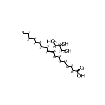 CCCCCCCCC=CCCCCCCCC(=O)O.OCC(S)CS